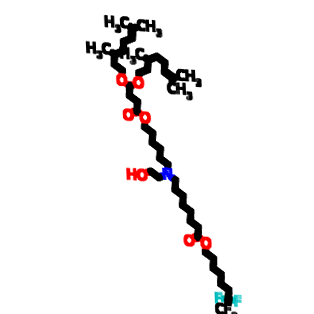 CC(C)=CCCC(C)CCOC(CCC(=O)OCCCCCCN(CCO)CCCCCCCC(=O)OCCCCCCC(F)(F)C(F)(F)F)OCCC(C)CCC=C(C)C